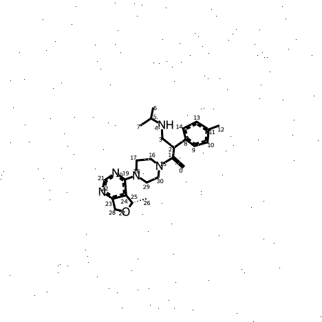 C=C(C(CNC(C)C)c1ccc(C)cc1)N1CCN(c2ncnc3c2[C@H](C)OC3)CC1